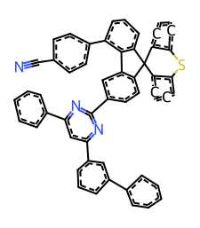 N#Cc1ccc(-c2cccc3c2-c2cc(-c4nc(-c5ccccc5)cc(-c5cccc(-c6ccccc6)c5)n4)ccc2C32c3ccccc3Sc3ccccc32)cc1